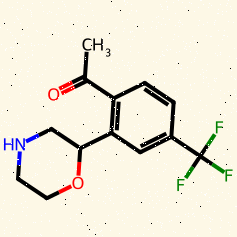 CC(=O)c1ccc(C(F)(F)F)cc1C1CNCCO1